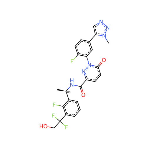 C[C@@H](NC(=O)c1ccc(=O)n(-c2cc(-c3cnnn3C)ccc2F)n1)c1cccc(C(F)(F)CO)c1F